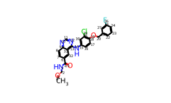 COCNC(=O)c1ccc2ncnc(Nc3ccc(OCc4cccc(F)c4)c(Cl)c3)c2c1